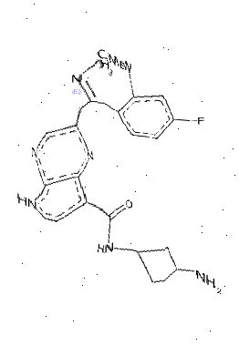 C/N=C(/c1cnc2[nH]cc(C(=O)NC3CC(N)C3)c2n1)c1ccc(F)cc1NC